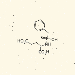 O=C(O)CCC(NP(O)(=S)Cc1ccccc1)C(=O)O